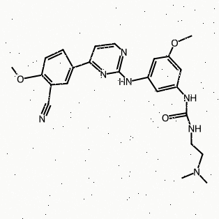 COc1cc(NC(=O)NCCN(C)C)cc(Nc2nccc(-c3ccc(OC)c(C#N)c3)n2)c1